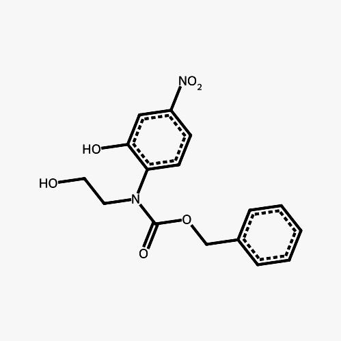 O=C(OCc1ccccc1)N(CCO)c1ccc([N+](=O)[O-])cc1O